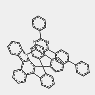 c1ccc(-c2ccc(-c3nc(-c4ccccc4)nc(-n4c5ccccc5c5c6ccccc6c6c(c54)C4(c5ccccc5-c5ccccc54)c4ccccc4-6)n3)cc2)cc1